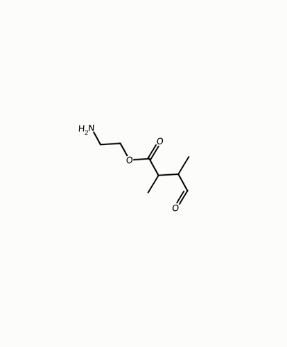 CC(C=O)C(C)C(=O)OCCN